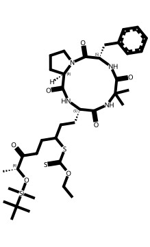 CCOC(=S)SC(CCC(=O)[C@@H](C)O[Si](C)(C)C(C)(C)C)CC[C@@H]1NC(=O)[C@H]2CCCN2C(=O)[C@H](Cc2ccccc2)NC(=O)C(C)(C)NC1=O